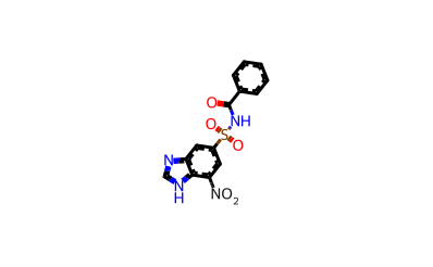 O=C(NS(=O)(=O)c1cc([N+](=O)[O-])c2[nH]cnc2c1)c1ccccc1